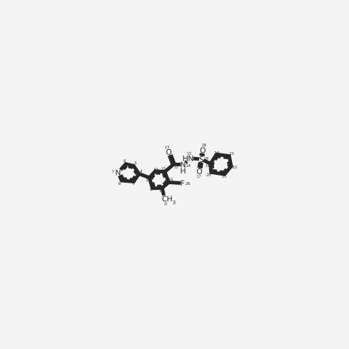 Cc1cc(-c2ccncc2)cc(C(=O)NNS(=O)(=O)c2ccccc2)c1F